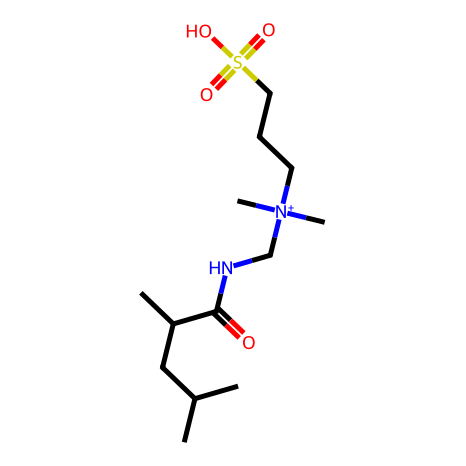 CC(C)CC(C)C(=O)NC[N+](C)(C)CCCS(=O)(=O)O